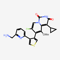 COc1c(-c2cscc2-c2cccc(CN)n2)c(F)cn2c(=O)[nH]c(=O)c(C3CC3)c12